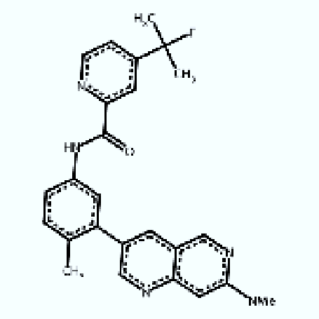 CNc1cc2ncc(-c3cc(NC(=O)c4cc(C(C)(C)F)ccn4)ccc3C)cc2cn1